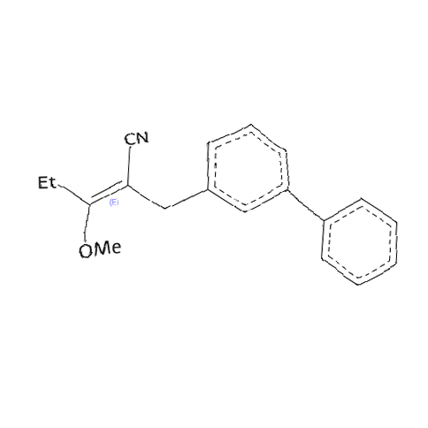 CC/C(OC)=C(\C#N)Cc1cccc(-c2ccccc2)c1